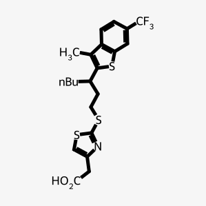 CCCCC(CCSc1nc(CC(=O)O)cs1)c1sc2cc(C(F)(F)F)ccc2c1C